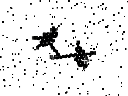 CCN(CCCCCCCCN1C(=O)N(c2cccc(C(F)(F)F)c2)C(C)=C(C(=O)OCCO)C1c1ccc(C#N)cc1)CCCCCCCCN1C(=O)N(c2cccc(C(F)(F)F)c2)C(C)=C(C(=O)OCCO)C1c1ccc(C#N)cc1